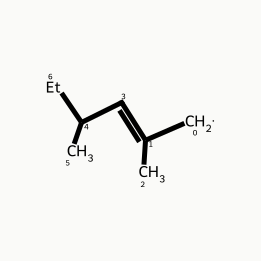 [CH2]C(C)=CC(C)CC